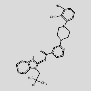 CC(C)(O)Cn1/c(=N/C(=O)c2ccnc(N3CCN(c4cccc(O)c4C=O)CC3)c2)[nH]c2ccccc21